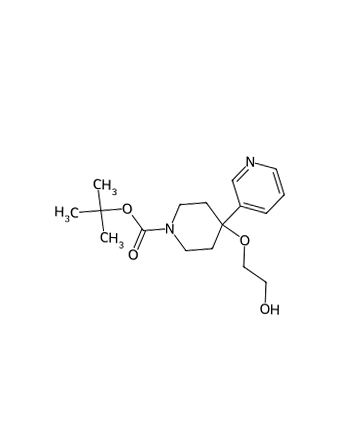 CC(C)(C)OC(=O)N1CCC(OCCO)(c2cccnc2)CC1